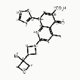 CCC1(C2CN(c3cc(C)c4c(=O)c(C(=O)O)cn(-c5ncns5)c4n3)C2)COC1